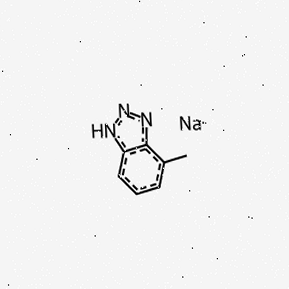 Cc1cccc2[nH]nnc12.[Na]